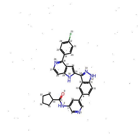 O=C(Nc1cncc(-c2ccc3[nH]nc(-c4cc5c(-c6ccc(F)cc6)nccc5[nH]4)c3c2)c1)C1CCCC1